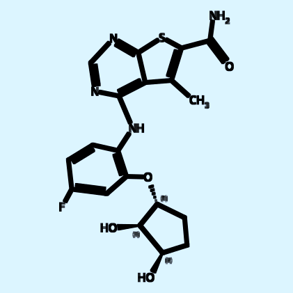 Cc1c(C(N)=O)sc2ncnc(Nc3ccc(F)cc3O[C@@H]3CC[C@@H](O)[C@H]3O)c12